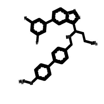 COc1ccc(-c2ccc(CNC(CCN)c3nsc4ccc(-c5cc(F)cc(F)c5)cc34)cc2)cc1